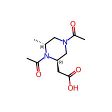 CC(=O)N1C[C@@H](CC(=O)O)N(C(C)=O)[C@H](C)C1